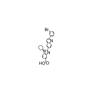 O=C(O)c1ccc2c(c1)nc(-c1ccc3nc(-c4cccc(Br)c4)ccc3c1)n2C1CCCCC1